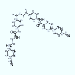 CC(CCC(C)c1ccc(NC(=O)C2CCN(c3ccc(C#N)nn3)CC2)cc1)c1ccc(CC(=O)NCCNc2ccc(C#N)nn2)cc1